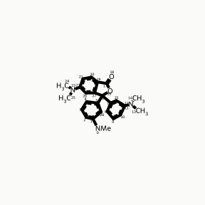 CNc1cccc(C2(c3cccc(N(C)C)c3)OC(=O)c3ccc(N(C)C)cc32)c1